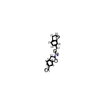 O=Cc1ccc2c(c1)O/C(=N/OCc1ccc3c(c1)OCC3)C2